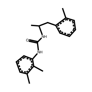 Cc1ccccc1CC(C)NC(=O)Nc1cccc(C)c1C